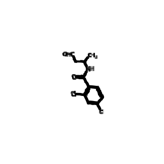 CC(CC=O)NC(=O)c1ccc(Cl)cc1Cl